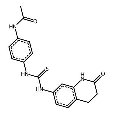 CC(=O)Nc1ccc(NC(=S)Nc2ccc3c(c2)NC(=O)CC3)cc1